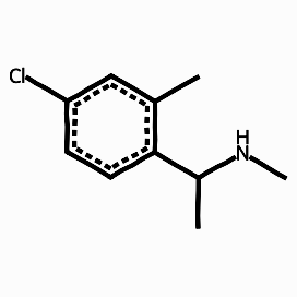 CNC(C)c1ccc(Cl)cc1C